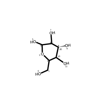 OCC1OC(O)C(O)[C@H](O)C1O